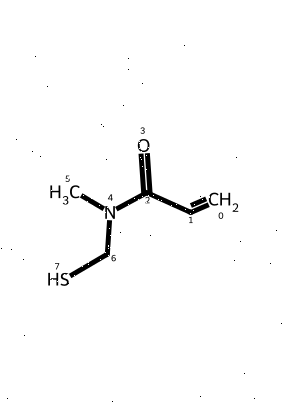 C=CC(=O)N(C)CS